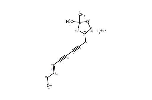 CCCCCC[C@H]1OC(C)(C)O[C@@H]1CC#CC#C/C=C/CO